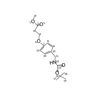 COC(=O)CCOc1ccc(CNC(=O)OC(C)(C)C)cc1